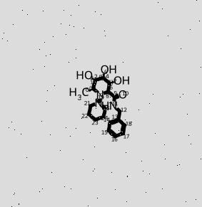 C[C@H]1[C@H](O)[C@@H](O)[C@@H](O)C(C(=O)NCc2ccccc2)N1N1CCCCC1